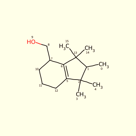 CC1C(C)(C)C2=C(C(CO)CCC2)C1(C)C